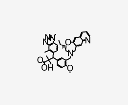 CC[C@@H]1CN(Cc2cc(C(c3ccc4c(nnn4C)c3C)C(C)(C)C(=O)O)ccc2OC)Cc2cc3ncccc3cc2O1